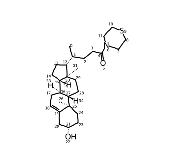 CC(CCC(=O)N1CCSCC1)[C@H]1CC[C@H]2[C@@H]3CC=C4C[C@@H](O)CC[C@]4(C)[C@H]3CC[C@]12C